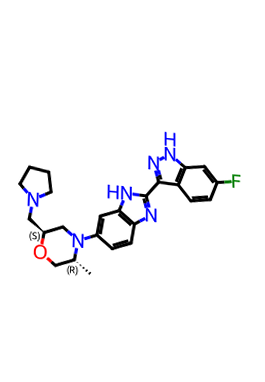 C[C@@H]1CO[C@@H](CN2CCCC2)CN1c1ccc2nc(-c3n[nH]c4cc(F)ccc34)[nH]c2c1